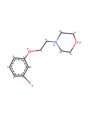 Ic1cccc(OCCN2CCOCC2)c1